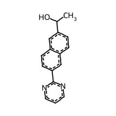 CC(O)c1ccc2cc(-c3ncccn3)ccc2c1